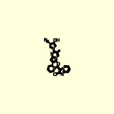 Cc1cn2nc([C@@H]3CCCCN3C(=O)c3c(Cl)nc4ccccn34)cc2nc1N1C[C@@H](C#N)[C@@H](O)C1